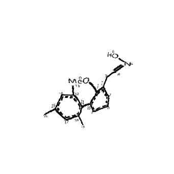 COc1c(C/C=N\O)cccc1-c1c(C)cc(C)cc1C